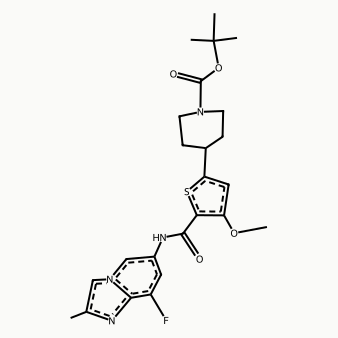 COc1cc(C2CCN(C(=O)OC(C)(C)C)CC2)sc1C(=O)Nc1cc(F)c2nc(C)cn2c1